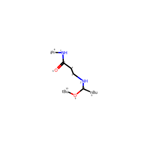 CCCCC(NCCC(=O)NC(C)C)OC(C)(C)C